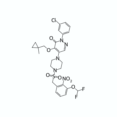 CC1(COc2c(N3CCN(S(=O)(=O)Cc4cccc(OC(F)F)c4[N+](=O)[O-])CC3)cnn(-c3cccc(Cl)c3)c2=O)CC1